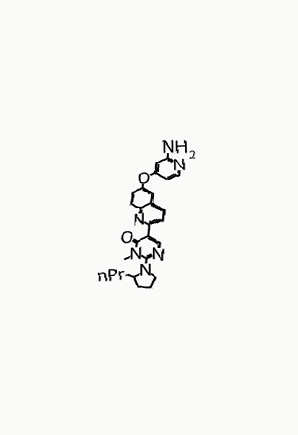 CCCC1CCCN1c1ncc(-c2ccc3cc(Oc4ccnc(N)c4)ccc3n2)c(=O)n1C